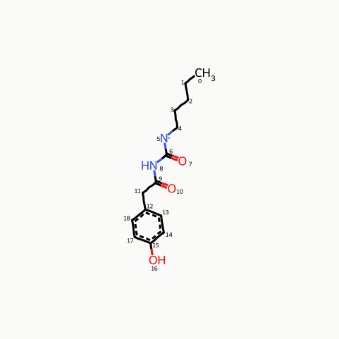 CCCCC[N]C(=O)NC(=O)Cc1ccc(O)cc1